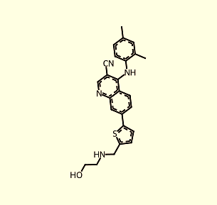 Cc1ccc(Nc2c(C#N)cnc3cc(-c4ccc(CNCCO)s4)ccc23)c(C)c1